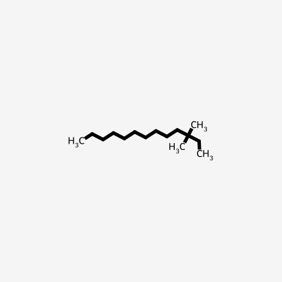 CCCCCCCCCCC(C)(C)CC